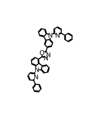 c1ccc(-c2cccc(-n3c4ccccc4c4cc(-c5nnc(-c6cccc7c6c6ccccc6n7-c6cccc(-c7ccccc7)n6)o5)ccc43)n2)cc1